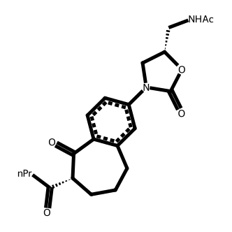 CCCC(=O)[C@H]1CCCc2cc(N3C[C@H](CNC(C)=O)OC3=O)ccc2C1=O